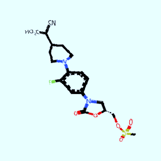 CS(=O)(=O)OC[C@H]1CN(c2ccc(N3CCC(C(C#N)C(=O)O)CC3)c(F)c2)C(=O)O1